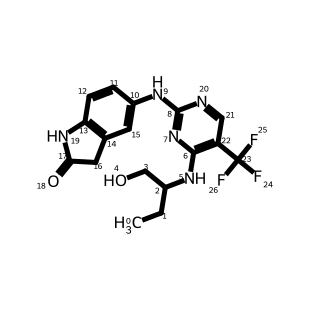 CCC(CO)Nc1nc(Nc2ccc3c(c2)CC(=O)N3)ncc1C(F)(F)F